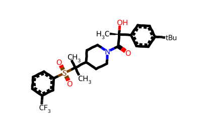 CC(C)(C)c1ccc([C@@](C)(O)C(=O)N2CCC(C(C)(C)S(=O)(=O)c3cccc(C(F)(F)F)c3)CC2)cc1